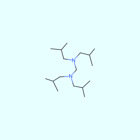 CC(C)CN(CC(C)C)CN(CC(C)C)CC(C)C